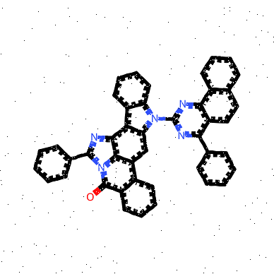 O=c1c2ccccc2c2cc3c(c4ccccc4n3-c3nc(-c4ccccc4)c4ccc5ccccc5c4n3)c3nc(-c4ccccc4)n1c23